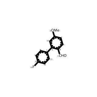 COc1ccc(C=O)c(-c2ccc(F)cc2)c1